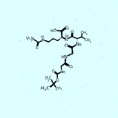 CC(C)[C@H](NC(=O)CNC(=O)CNC(=O)OC(C)(C)C)C(=O)N[C@@H](CCCNC(N)=O)C(=O)O